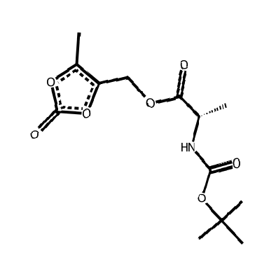 Cc1oc(=O)oc1COC(=O)[C@H](C)NC(=O)OC(C)(C)C